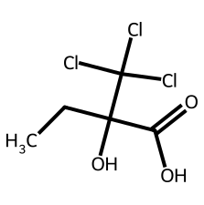 CCC(O)(C(=O)O)C(Cl)(Cl)Cl